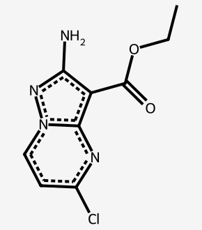 CCOC(=O)c1c(N)nn2ccc(Cl)nc12